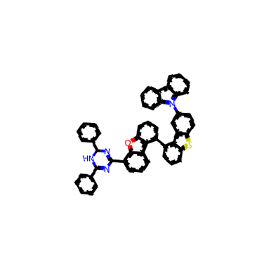 c1ccc(C2=NC(c3cccc4c3oc3cccc(-c5cccc6sc7ccc(-n8c9ccccc9c9ccccc98)cc7c56)c34)=NC(c3ccccc3)N2)cc1